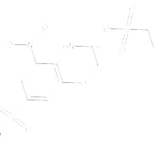 CCS(=O)(=O)O[C@@H]1COc2cc(S(N)(=O)=O)cc([N+](=O)[O-])c2N1